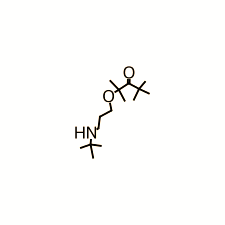 CC(C)(C)NCCCOC(C)(C)C(=O)C(C)(C)C